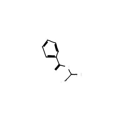 O=C(OC(Cl)Cl)c1ccccc1